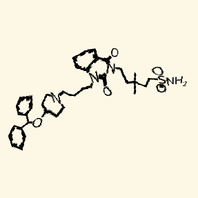 CC(C)(CCn1c(=O)c2ccccc2n(CCCCN2CCC(OC(c3ccccc3)c3ccccc3)CC2)c1=O)CCS(N)(=O)=O